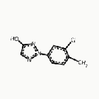 Cc1ccc(-n2ncc(O)n2)cc1Cl